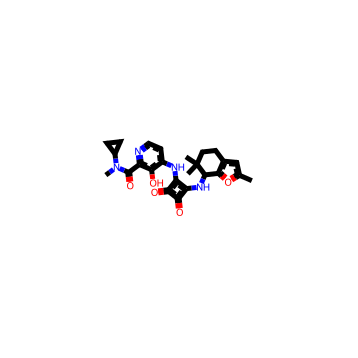 Cc1cc2c(o1)C(Nc1c(Nc3ccnc(C(=O)N(C)C4CC4)c3O)c(=O)c1=O)C(C)(C)CC2